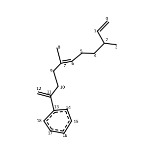 C=CC(C)CCC=C(C)CCC(=C)c1ccccc1